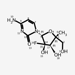 C[C@]1(CO)O[C@@H](n2ccc(N)nc2=O)[C@@](O)(F)[C@@H]1O